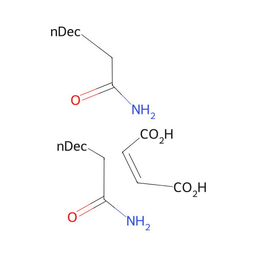 CCCCCCCCCCCC(N)=O.CCCCCCCCCCCC(N)=O.O=C(O)/C=C\C(=O)O